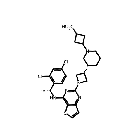 C[C@@H](Nc1nc(N2CC([C@H]3CCCN(C4CC(C(=O)O)C4)C3)C2)nc2ccsc12)c1ccc(Cl)cc1Cl